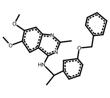 COc1cc2nc(C)nc(NC(C)c3cccc(OCc4ccccc4)c3)c2cc1OC